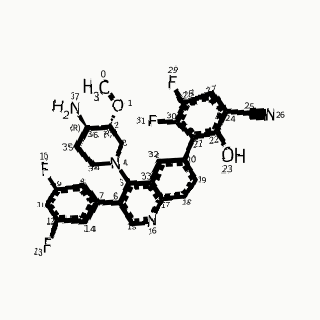 CO[C@@H]1CN(c2c(-c3cc(F)cc(F)c3)cnc3ccc(-c4c(O)c(C#N)cc(F)c4F)cc23)CC[C@H]1N